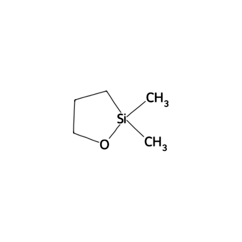 C[Si]1(C)CCCO1